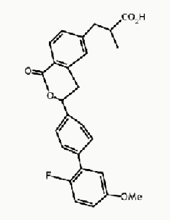 COc1ccc(F)c(-c2ccc(C3Cc4cc(CC(C)C(=O)O)ccc4C(=O)O3)cc2)c1